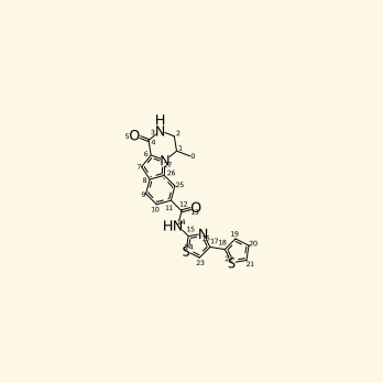 CC1CNC(=O)c2cc3ccc(C(=O)Nc4nc(-c5cccs5)cs4)cc3n21